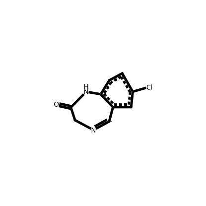 O=C1CN=[C]c2cc(Cl)ccc2N1